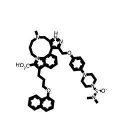 CN1CCCn2c(C(=O)O)c(CCCOc3cccc4ccccc34)c3cccc(c32)-c2c(COc3ccc(N4CCN([S+]([O-])N(C)C)CC4)cc3)n[nH]c2C1